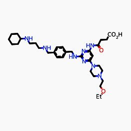 CCOCCN1CCN(c2cc(NC(=O)CCC(=O)O)nc(NCc3ccc(CNCCCNC4CCCCC4)cc3)n2)CC1